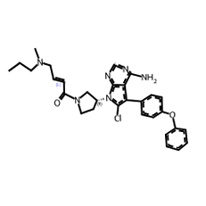 CCCN(C)C/C=C/C(=O)N1CC[C@@H](n2c(Cl)c(-c3ccc(Oc4ccccc4)cc3)c3c(N)ncnc32)C1